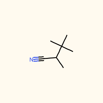 CC(C#N)C(C)(C)C